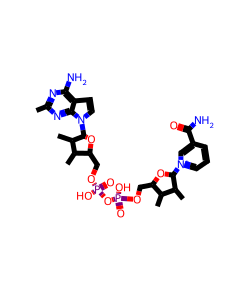 Cc1nc(N)c2ccn(C3OC(COP(=O)(O)OP(=O)(O)OCC4OC([n+]5cccc(C(N)=O)c5)C(C)C4C)C(C)C3C)c2n1